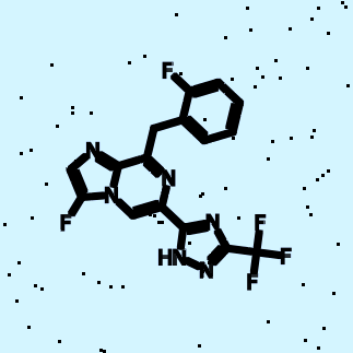 Fc1ccccc1Cc1nc(-c2nc(C(F)(F)F)n[nH]2)cn2c(F)cnc12